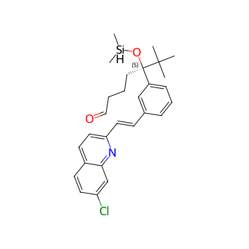 C[SiH](C)O[C@](CCCC=O)(c1cccc(C=Cc2ccc3ccc(Cl)cc3n2)c1)C(C)(C)C